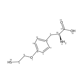 N[C@@H](Cc1ccc(OCCS)cc1)C(=O)O